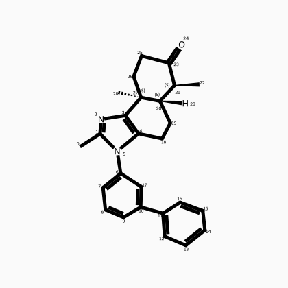 Cc1nc2c(n1-c1cccc(-c3ccccc3)c1)CC[C@H]1[C@H](C)C(=O)CC[C@]21C